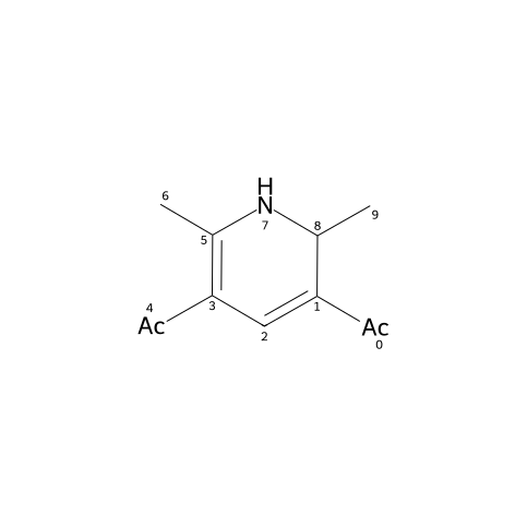 CC(=O)C1=CC(C(C)=O)=C(C)NC1C